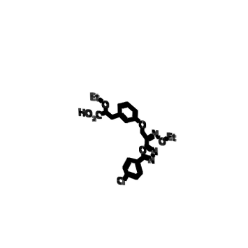 CCON=C(COc1cccc(CC(OCC)C(=O)O)c1)c1nnc(-c2ccc(Cl)cc2)o1